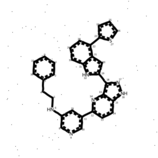 c1ccc(CCNc2cncc(-c3ccc4[nH]nc(-c5cc6c(-c7cccs7)cccc6[nH]5)c4n3)c2)cc1